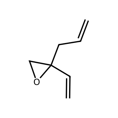 C=CCC1(C=C)CO1